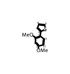 COc1[c]c(OC)c(-c2cccs2)cc1